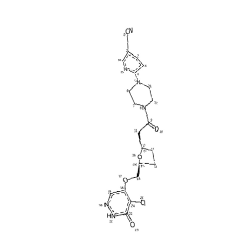 N#Cc1ccc(N2CCN(C(=O)C[C@H]3CC[C@@H](COc4cn[nH]c(=O)c4Cl)O3)CC2)nc1